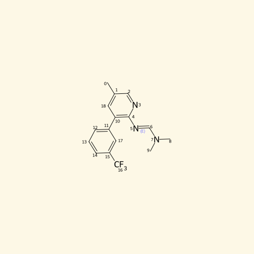 Cc1cnc(/N=C/N(C)C)c(-c2cccc(C(F)(F)F)c2)c1